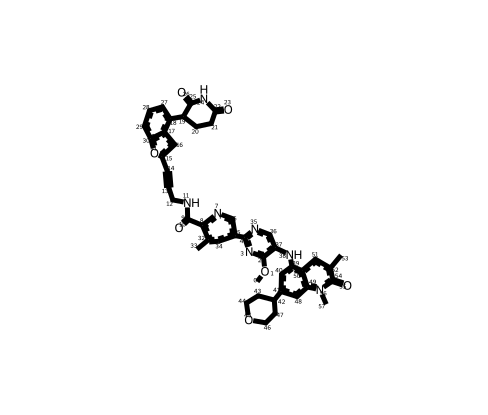 COc1nc(-c2cnc(C(=O)NCC#Cc3cc4c(C5CCC(=O)NC5=O)cccc4o3)c(C)c2)ncc1Nc1cc(C2CCOCC2)cc2c1cc(C)c(=O)n2C